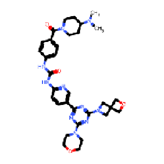 CN(C)C1CCN(C(=O)c2ccc(NC(=O)Nc3ccc(-c4nc(N5CCOCC5)nc(N5CC6(COC6)C5)n4)cn3)cc2)CC1